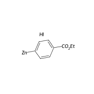 CCOC(=O)c1cc[c]([Zn])cc1.I